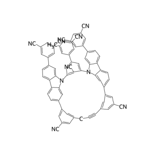 Cc1cc(C#N)cc(-c2cc3c(C#N)c(c2)-n2c4cc(-c5cc(C#N)cc(C#N)c5)ccc4c4ccc(cc42)-c2cc(C#N)cc(c2)CC#Cc2cc(C#N)cc(c2)-c2ccc4c5ccc(-c6cc(C#N)cc(C#N)c6)cc5n-3c4c2)c1